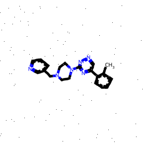 Cc1ccccc1-c1cnnc(N2CCN(Cc3cccnc3)CC2)n1